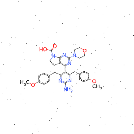 COc1ccc(Cc2nc(N)nc(Cc3ccc(OC)cc3)c2-c2nc(N3CCOCC3)nc3c2CCN3C(=O)O)cc1